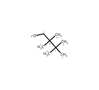 CC(C)(C)C(C)(C)C[O]